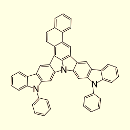 c1ccc(-n2c3ccccc3c3cc4c5cc6c7ccccc7ccc6c6c7cc8c9ccccc9n(-c9ccccc9)c8cc7n(c4cc32)c56)cc1